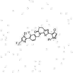 CCn1cc(C(F)(F)F)nc1-c1ccc(CN2C(=O)CCn3nc(-c4c(Cl)cnn4C(C)C)nc32)cc1F